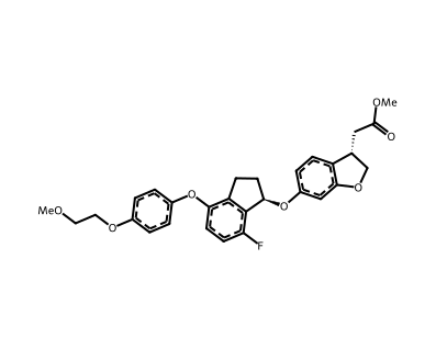 COCCOc1ccc(Oc2ccc(F)c3c2CC[C@H]3Oc2ccc3c(c2)OC[C@H]3CC(=O)OC)cc1